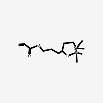 C=CC(=O)OCCCC1CC[Si](C)(C)[Si](C)(C)O1